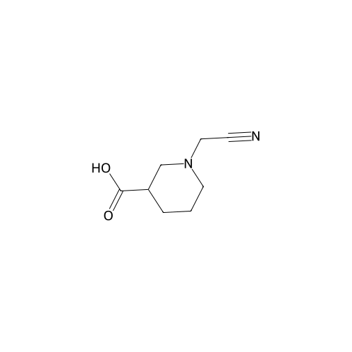 N#CCN1CCCC(C(=O)O)C1